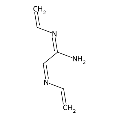 C=C/N=C\C(N)=N/C=C